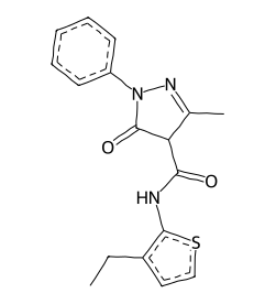 CCc1ccsc1NC(=O)C1C(=O)N(c2ccccc2)N=C1C